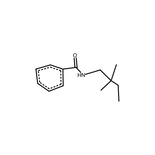 CCC(C)(C)CNC(=O)c1ccccc1